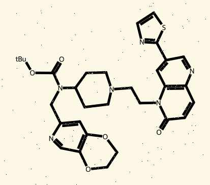 CC(C)(C)OC(=O)N(Cc1cc2c(cn1)OCCO2)C1CCN(CCn2c(=O)ccc3ncc(-c4nccs4)cc32)CC1